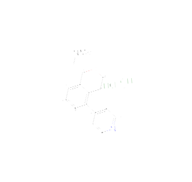 CNC[C@@H]1OCCc2c(-c3ccncc3)cccc21.Cl.Cl